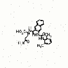 Cc1cccc(C)c1NC(=O)Nc1cc2ccccc2cc1C(=O)N[C@@H](CCC(N)=O)C(=O)O